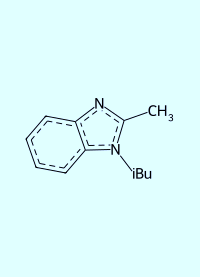 CCC(C)n1c(C)nc2ccccc21